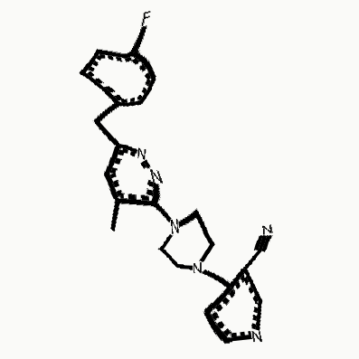 Cc1cc(Cc2ccc(F)cc2)nnc1N1CCN(c2ccncc2C#N)CC1